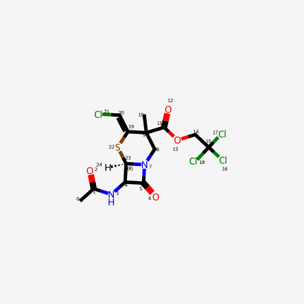 CC(=O)NC1C(=O)N2CC(C)(C(=O)OCC(Cl)(Cl)Cl)C(=CCl)S[C@H]12